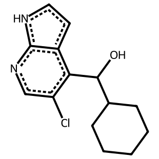 OC(c1c(Cl)cnc2[nH]ccc12)C1CCCCC1